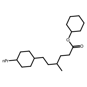 CCCC1CCC(CCC(C)CCC(=O)OC2CCCCC2)CC1